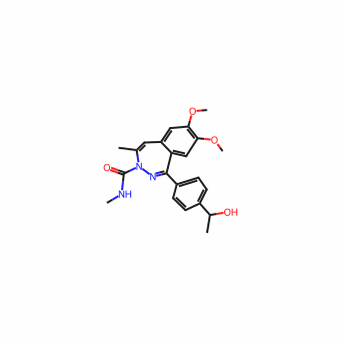 CNC(=O)N1N=C(c2ccc(C(C)O)cc2)c2cc(OC)c(OC)cc2C=C1C